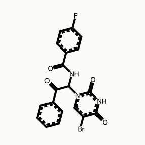 O=C(NC(C(=O)c1ccccc1)n1cc(Br)c(=O)[nH]c1=O)c1ccc(F)cc1